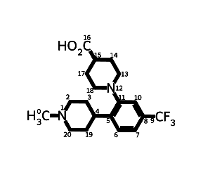 CN1CCC(c2ccc(C(F)(F)F)cc2N2CCC(C(=O)O)CC2)CC1